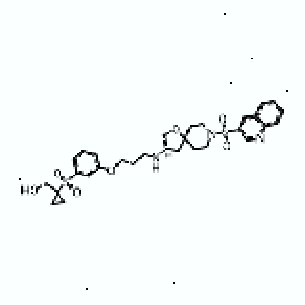 O=S(=O)(c1cnc2ccccc2c1)N1CCC2(CC1)C[C@@H](NCCCOc1cccc(S(=O)(=O)C3(CO)CC3)c1)CO2